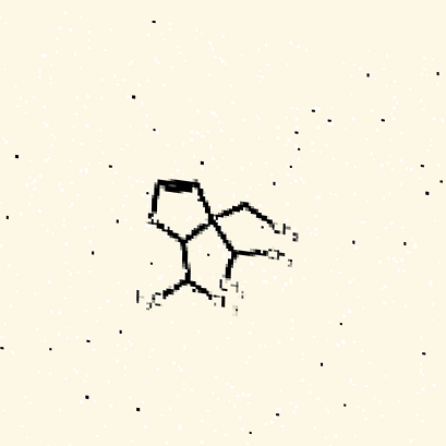 CCC1(C(C)C)C=CSC1C(C)C